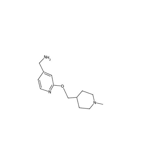 CN1CCC(COc2cc(CN)ccn2)CC1